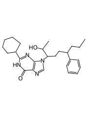 CCCC(CCC(C(C)O)n1cnc2c(=O)[nH]c(C3CCCCC3)nc21)c1ccccc1